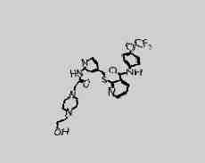 O=C(CN1CCN(CCO)CC1)Nc1cc(CSc2ncccc2C(=O)Nc2ccc(OC(F)(F)F)cc2)ccn1